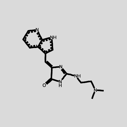 CN(C)CCNC1=N/C(=C\c2c[nH]c3ncccc23)C(=O)N1